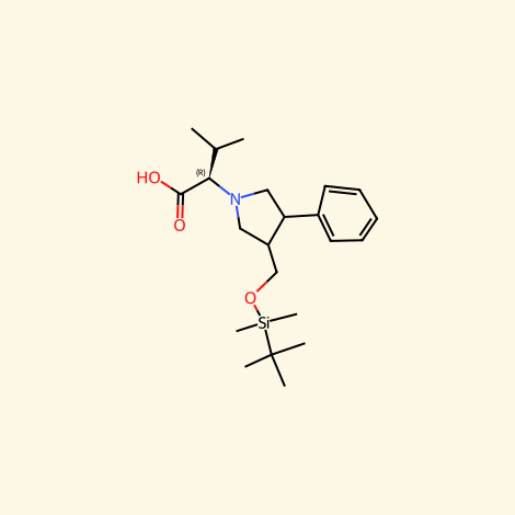 CC(C)[C@H](C(=O)O)N1CC(CO[Si](C)(C)C(C)(C)C)C(c2ccccc2)C1